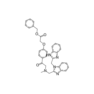 CN(CC(=O)c1ccc(OCC(=O)OCc2ccccc2)cc1)Cc1nc2ccccc2n1Cc1nc2ccccc2[nH]1